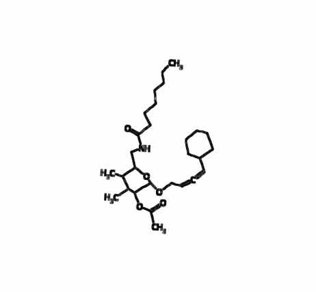 CCCCCCCC(=O)NCC1OC(OCC=C=CC2CCCCC2)C(OC(C)=O)C(C)C1C